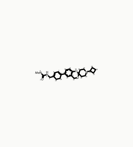 CNC(=O)NCC1=CC=C(c2ccc3c(c2)COC2(CCN(C4CCC4)CC2)O3)CC1